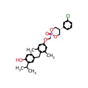 Cc1cc(OC[P@]2(=O)OC[C@@H](c3cccc(Cl)c3)CO2)cc(C)c1Cc1ccc(O)c(C(C)C)c1